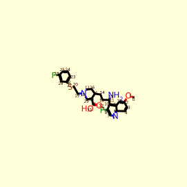 COc1ccc2ncc(F)c(C(N)CCC3CCN(CCSc4cccc(F)c4)CC3C(=O)O)c2c1